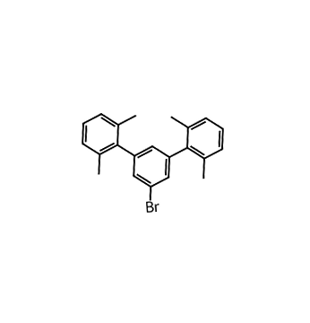 Cc1cccc(C)c1-c1cc(Br)cc(-c2c(C)cccc2C)c1